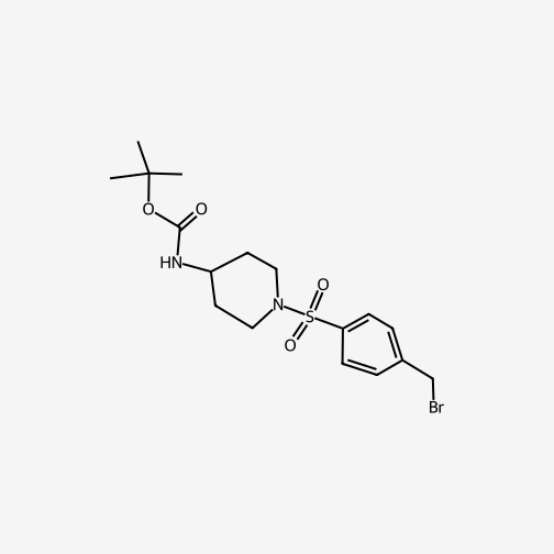 CC(C)(C)OC(=O)NC1CCN(S(=O)(=O)c2ccc(CBr)cc2)CC1